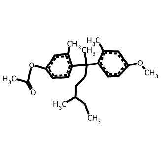 CCC(C)CCC(C)(c1ccc(OC)cc1C)c1ccc(OC(C)=O)cc1C